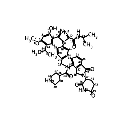 COc1cc(O)c(-c2nnc(C(=O)NC(C)C)n2-c2ccc(CN(C(=O)C3CCNCC3)c3cccc4c3CN(C3CCC(=O)NC3=O)C4=O)cc2)cc1C(C)C